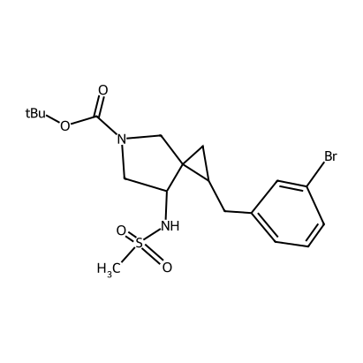 CC(C)(C)OC(=O)N1CC(NS(C)(=O)=O)C2(CC2Cc2cccc(Br)c2)C1